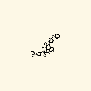 C=CC(=O)N1CCC(NC(=O)c2sc3nccc4c3c2NC(=O)N4c2ccc(Oc3ccccc3)nn2)C1